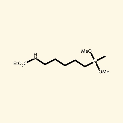 CCOC(=O)NCCCCC[Si](C)(OC)OC